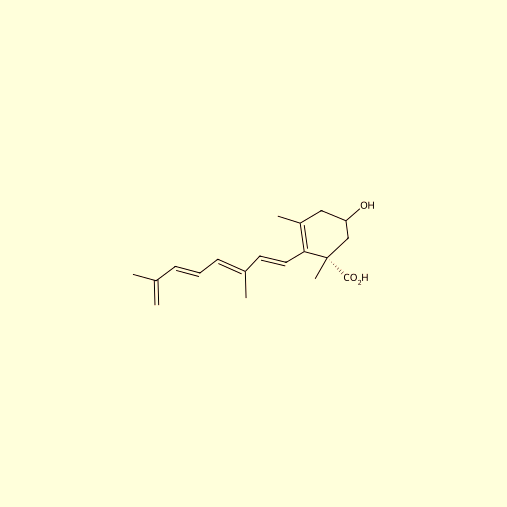 C=C(C)/C=C/C=C(C)/C=C/C1=C(C)CC(O)C[C@]1(C)C(=O)O